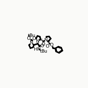 CC(C)(C)NC(=O)C(C1CCCN1C(=O)OC(C)(C)C)N1CCC[C@H]1C(=O)N1CCC[C@H]1C(=O)OCc1ccccc1